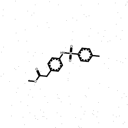 COC(=O)Cc1ccc(NS(=O)(=O)c2ccc(C)cc2)cc1